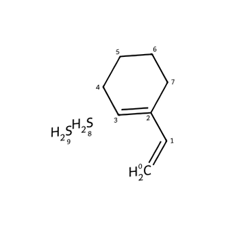 C=CC1=CCCCC1.S.S